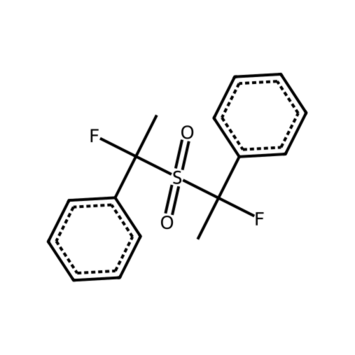 CC(F)(c1ccccc1)S(=O)(=O)C(C)(F)c1ccccc1